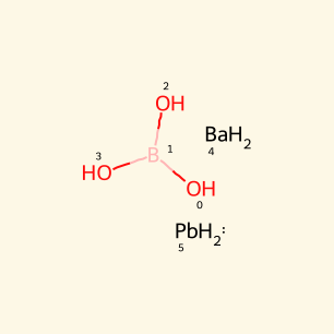 OB(O)O.[BaH2].[PbH2]